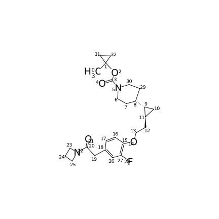 CC1(OC(=O)N2CCC([C@@H]3C[C@H]3CCOc3ccc(CC(=O)N4CCC4)cc3F)CC2)CC1